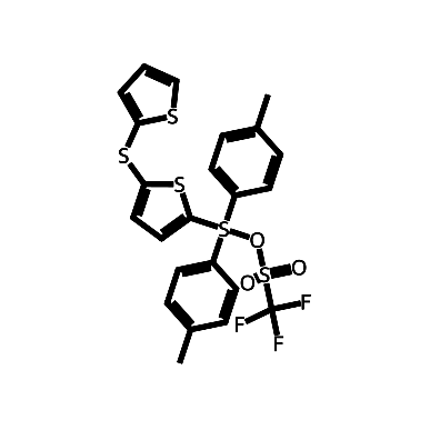 Cc1ccc(S(OS(=O)(=O)C(F)(F)F)(c2ccc(C)cc2)c2ccc(Sc3cccs3)s2)cc1